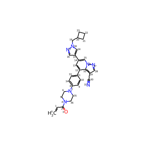 C=CC(=O)N1CCN(c2ccc(-c3cc(-c4cnn(CC5CCC5)c4)cn4ncc(C#N)c34)cc2)CC1